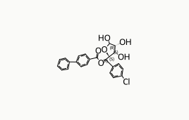 O=C(O[C@H](c1ccc(Cl)cc1)[C@H]1OC(O)[C@H](O)[C@@H]1O)c1ccc(-c2ccccc2)cc1